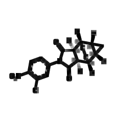 O=C1[C@@H]2[C@@H]3CC[C@@H]([C@@H]4C[C@@H]43)[C@@H]2C(=O)N1c1ccc([N+](=O)[O-])c(Cl)c1